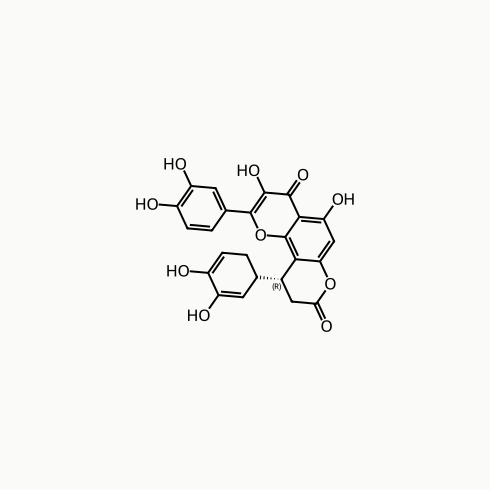 O=C1C[C@H](C2C=C(O)C(O)=CC2)c2c(cc(O)c3c(=O)c(O)c(-c4ccc(O)c(O)c4)oc23)O1